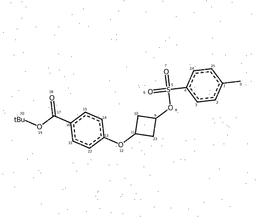 Cc1ccc(S(=O)(=O)OC2CC(Oc3ccc(C(=O)OC(C)(C)C)cc3)C2)cc1